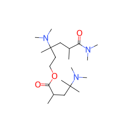 CC(CC(C)(C)N(C)C)C(=O)OCCC(C)(CC(C)C(=O)N(C)C)N(C)C